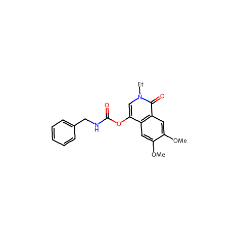 CCn1cc(OC(=O)NCc2ccccc2)c2cc(OC)c(OC)cc2c1=O